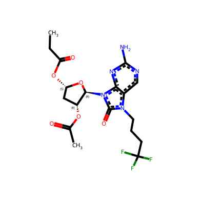 CCC(=O)O[C@H]1C[C@@H](OC(C)=O)[C@H](n2c(=O)n(CCCC(F)(F)F)c3cnc(N)nc32)O1